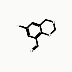 O=Cc1cc(Cl)cc2c1OCOC2